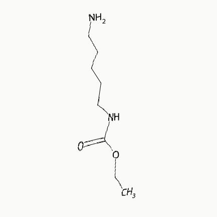 CCOC(=O)NCCCCCN